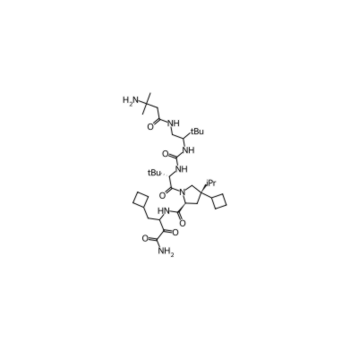 CC(C)[C@@]1(C2CCC2)C[C@@H](C(=O)NC(CC2CCC2)C(=O)C(N)=O)N(C(=O)[C@@H](NC(=O)NC(CNC(=O)CC(C)(C)N)C(C)(C)C)C(C)(C)C)C1